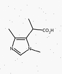 Cc1ncn(C)c1C(C)C(=O)O